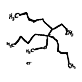 CCCCC(CC)[P+](CCCC)(CCCC)OC.[Cl-]